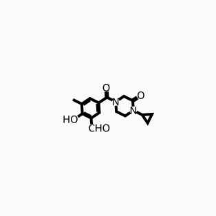 Cc1cc(C(=O)N2CCN(C3CC3)C(=O)C2)cc(C=O)c1O